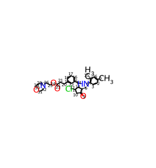 Cc1ccc(NC[C@H]2C(=O)CC(Cl)[C@@H]2Cc2cccc(CCC(=O)OCCN3CCOCC3)c2)c(C)c1